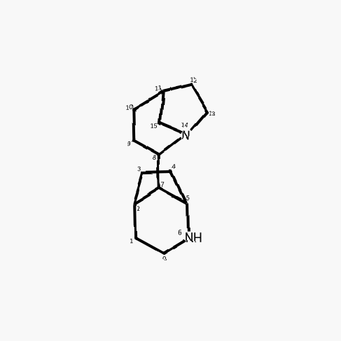 C1CC2CCC(N1)C2C1CCC2CCN1C2